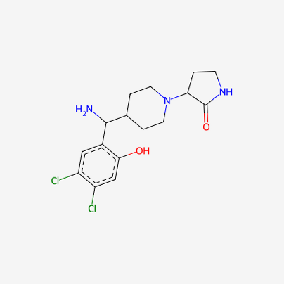 NC(c1cc(Cl)c(Cl)cc1O)C1CCN(C2CCNC2=O)CC1